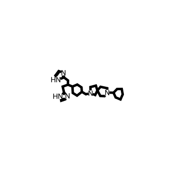 c1c[nH]c(CC(Cc2ncc[nH]2)C2CCC(CN3CCC4(CCN(C5CCCCC5)CC4)C3)CC2)n1